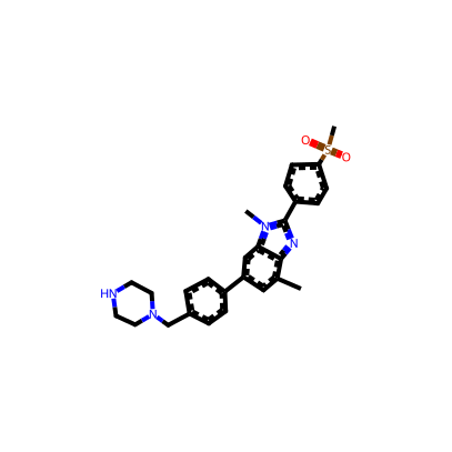 Cc1cc(-c2ccc(CN3CCNCC3)cc2)cc2c1nc(-c1ccc(S(C)(=O)=O)cc1)n2C